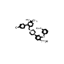 COc1cccc(Oc2cc(N3CCN(CC4=C(c5ccc(Cl)cc5)CC(C)(C)CC4)CC3)ccc2C(=O)O)c1